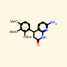 COc1ccc(C2CC(=O)Nc3nc(N)ccc32)c(OC)c1OC